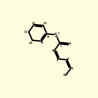 C=C(/C=C\C=C/C)SC1=CCCC=C1